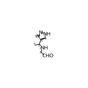 CC(NC[C]=O)c1c[nH]nn1